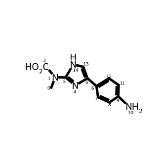 CN(C(=O)O)c1nc(-c2ccc(N)cc2)c[nH]1